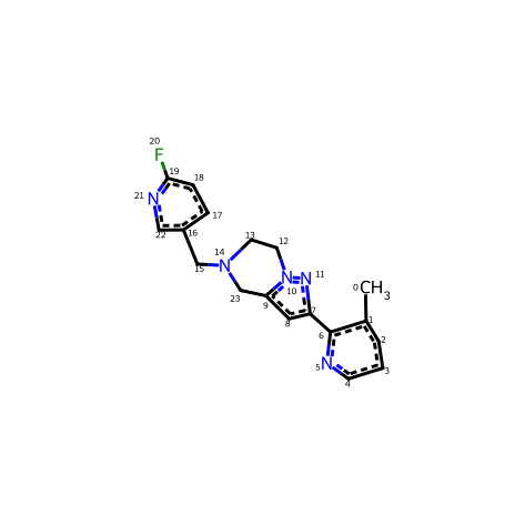 Cc1cccnc1-c1cc2n(n1)CCN(Cc1ccc(F)nc1)C2